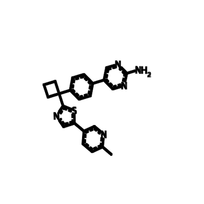 Cc1ccc(-c2cnc(C3(c4ccc(-c5cnc(N)nc5)cc4)CCC3)s2)cn1